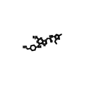 CCn1nc(C)cc1NC(=O)Cn1cnc2c(NC3CCC(CO)CC3)nc(N)nc21